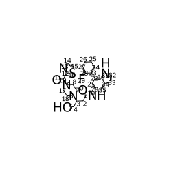 O=C(CC(CO)N1CCN(C(=O)c2nccs2)CC1)Nc1cc(-c2ccccc2F)c2[nH]ccc2c1